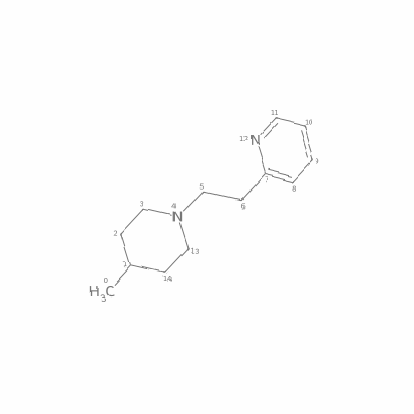 CC1CCN(CCc2ccccn2)CC1